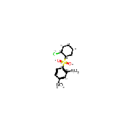 O=[N+]([O-])c1ccc(S(=O)(=O)C2CCCCC2Cl)c([N+](=O)[O-])c1